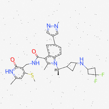 CSc1cc(C)[nH]c(=O)c1CNC(=O)c1c(C)n([C@H](C)C2CC(NC3CC(F)(F)C3)C2)c2ccc(-c3cnn(C)c3)cc12